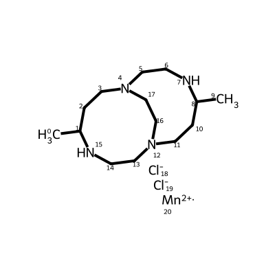 CC1CCN2CCNC(C)CCN(CCN1)CC2.[Cl-].[Cl-].[Mn+2]